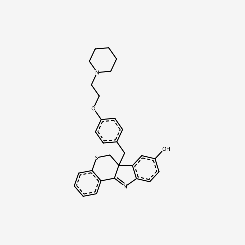 Oc1ccc2c(c1)C1(Cc3ccc(OCCN4CCCCC4)cc3)CSc3ccccc3C1=N2